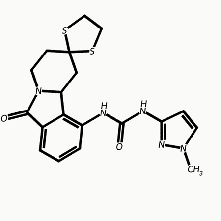 Cn1ccc(NC(=O)Nc2cccc3c2C2CC4(CCN2C3=O)SCCS4)n1